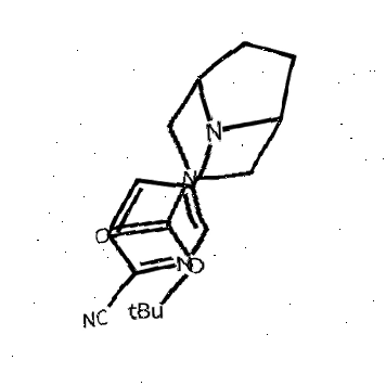 CC(C)(C)OC(=O)N1CC2CCC(C1)N2c1ccc(C#N)nc1